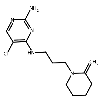 C=C1CCCCN1CCCNc1nc(N)ncc1Cl